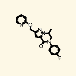 CC1CN(c2ccc(F)cc2)C(=O)c2cc(COc3ccccn3)nn21